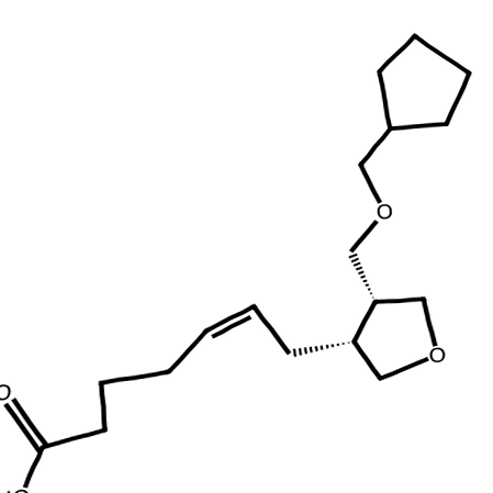 O=C(O)CCC/C=C\C[C@H]1COC[C@H]1COCC1CCCC1